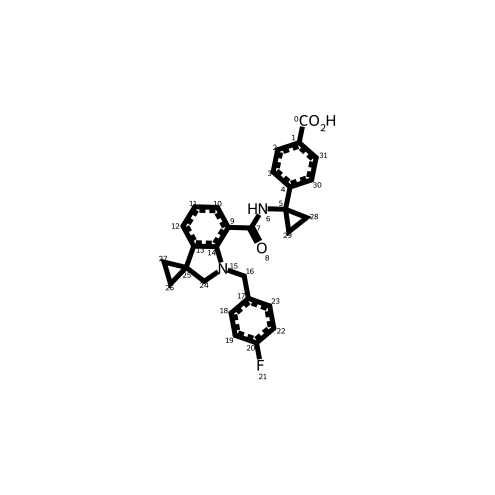 O=C(O)c1ccc(C2(NC(=O)c3cccc4c3N(Cc3ccc(F)cc3)CC43CC3)CC2)cc1